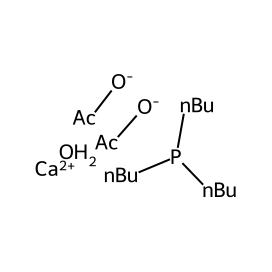 CC(=O)[O-].CC(=O)[O-].CCCCP(CCCC)CCCC.O.[Ca+2]